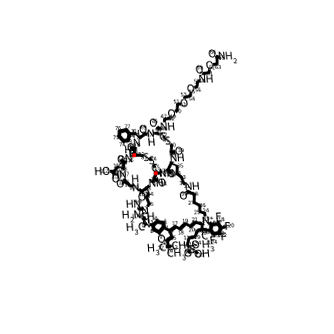 CN(C)c1ccc2c(c1)OC(C(C)(C)C)=C\C2=C/C=C/C=C/C1=[N+](CCCCCC(=O)NCCCC[C@@H]2NC(=O)CSC[C@@H](C(=O)NCCOCCOCCOCCNC(=O)COCC(N)=O)NC(=O)[C@H](Cc3ccccc3)NC(=O)[C@@H]3CSSC[C@H](NC2=O)C(=O)N[C@@H](CCCNC(=N)N)C(=O)NCC(=O)N[C@@H](CC(=O)O)C(=O)N3)c2c(F)c(F)c(F)c(F)c2C1(C)CCCCS(=O)(=O)O